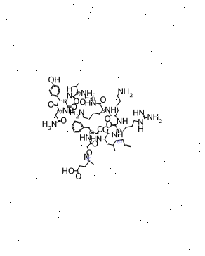 C=C/C=C\C(C)CC(NC(=O)[C@H](Cc1ccccc1)NC(=O)CO/N=C(\C)CCC(=O)O)C(=O)N[C@@H](CCCCNC(=N)N)C(=O)NC(CCCCN)C(=O)N[C@@H](CCCCN)C(=O)N[C@@H](C)C(=O)N[C@H](C(=O)N[C@@H](Cc1ccc(O)cc1)C(=O)N[C@@H](CC(N)=O)C(C)=O)C(C)C